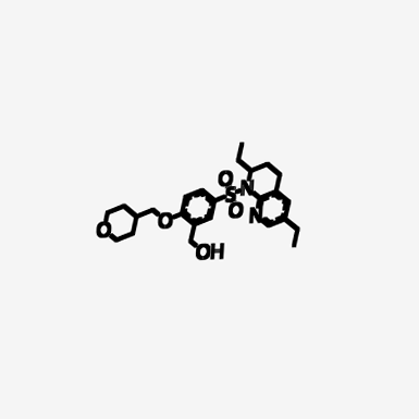 CCc1cnc2c(c1)CCC(CC)N2S(=O)(=O)c1ccc(OCC2CCOCC2)c(CO)c1